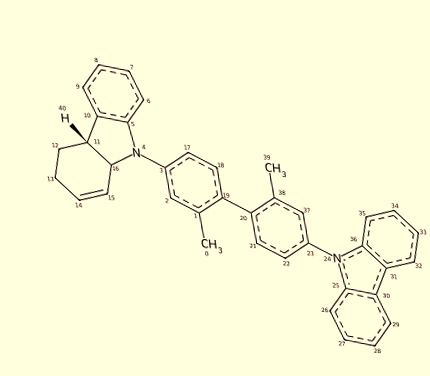 Cc1cc(N2c3ccccc3[C@H]3CCC=CC32)ccc1-c1ccc(-n2c3ccccc3c3ccccc32)cc1C